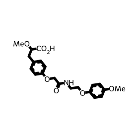 COc1ccc(OCCNC(=O)COc2ccc(CC(OC)C(=O)O)cc2)cc1